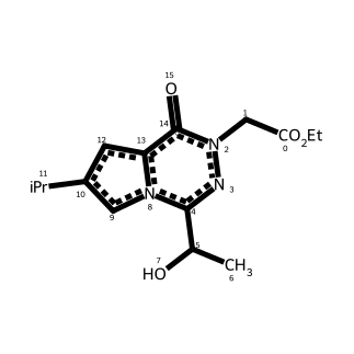 CCOC(=O)Cn1nc(C(C)O)n2cc(C(C)C)cc2c1=O